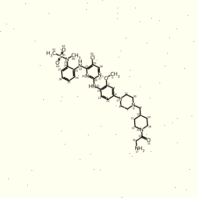 COc1cc(N2CCN(CC3CCN(C(=O)CN)CC3)CC2)ccc1Nc1ncc(Cl)c(Nc2ccccc2N(C)S(C)(=O)=O)n1